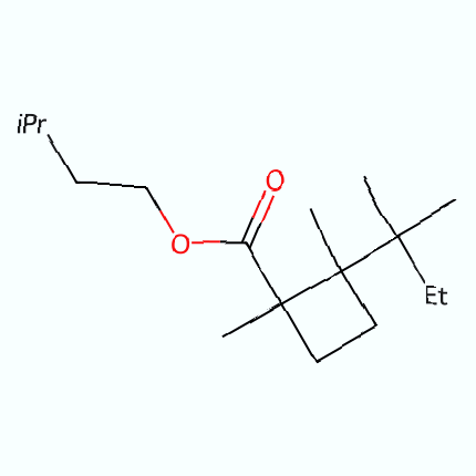 CCC(C)(C)C1(C)CCC1(C)C(=O)OCCC(C)C